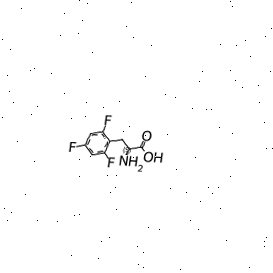 N[C@@H](Cc1c(F)cc(F)cc1F)C(=O)O